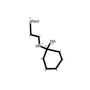 CCCCCCCNC1(O)CCCCC1